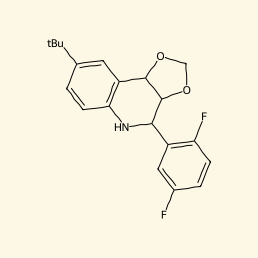 CC(C)(C)c1ccc2c(c1)C1OCOC1C(c1cc(F)ccc1F)N2